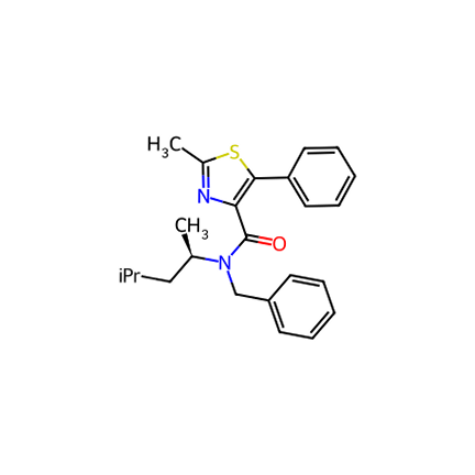 Cc1nc(C(=O)N(Cc2ccccc2)[C@H](C)CC(C)C)c(-c2ccccc2)s1